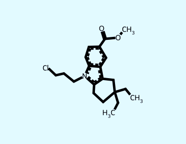 CCC1(CC)CCc2c(c3cc(C(=O)OC)ccc3n2CCCCl)C1